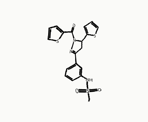 CS(=O)(=O)Nc1cccc(C2=NN(C(=O)c3cccs3)C(c3cccs3)C2)c1